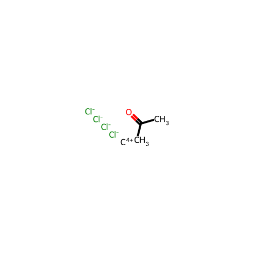 CC(C)=O.[C+4].[Cl-].[Cl-].[Cl-].[Cl-]